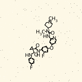 CN1CCC(N(C)C(=O)Nc2cc(Oc3ccc(NC(=O)C4(C(=O)Nc5ccc(F)cc5)CC4)c(F)c3)ccn2)CC1